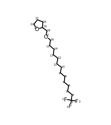 FC(F)(F)CCCCCCCCCCCCCOCC1CCCO1